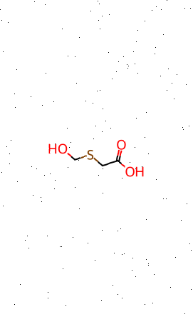 O=C(O)CSCO